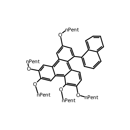 CCCCCOc1cc(-c2cccc3ccccc23)c2c(c1)c1cc(OCCCCC)c(OCCCCC)cc1c1c(OCCCCC)c(OCCCCC)ccc21